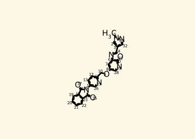 Cn1cc(-c2nc3cc(OCc4ccc(N5C(=O)c6ccccc6C5=O)cn4)cnc3o2)cn1